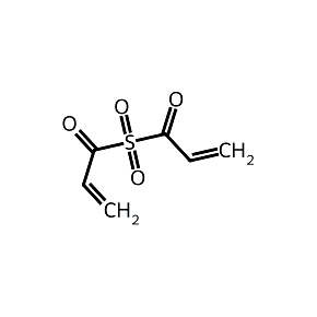 C=CC(=O)S(=O)(=O)C(=O)C=C